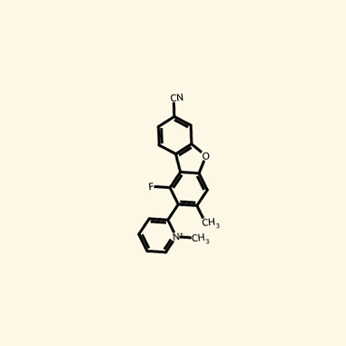 Cc1cc2oc3cc(C#N)ccc3c2c(F)c1-c1cccc[n+]1C